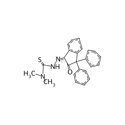 CN(C)C(=S)N/N=C1\C(=O)C(c2ccccc2)(c2ccccc2)c2ccccc21